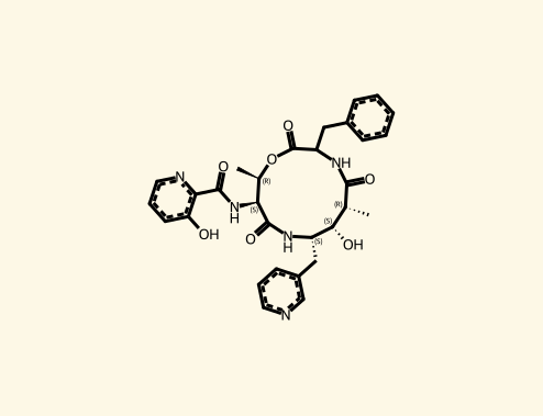 C[C@H]1OC(=O)C(Cc2ccccc2)NC(=O)[C@H](C)[C@H](O)[C@H](Cc2cccnc2)NC(=O)[C@H]1NC(=O)c1ncccc1O